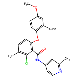 COc1cc(OC(F)(F)F)ccc1Oc1ccc(C(F)(F)F)c(Cl)c1C(=O)Nc1ccnc(C)c1